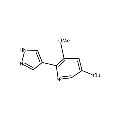 COc1cc(C(C)(C)C)cnc1-c1cn[nH]c1